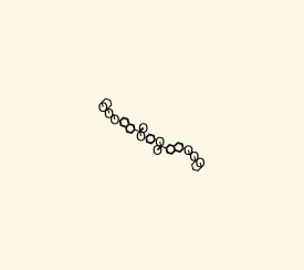 O=C(Oc1ccc(OC(=O)c2ccc3cc(OCOC4CCCCO4)ccc3c2)cc1)c1ccc2cc(OCOC3CCCCO3)ccc2c1